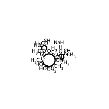 CC[C@H]1OC(=O)[C@H](C)[C@@H](O[C@H]2C[C@@](C)(OC)[C@@H](O)[C@H](C)O2)[C@H](C)[C@@H](O[C@@H]2O[C@H](C)C[C@H](N(C)C)[C@H]2O)[C@](C)(O)C[C@@H](C)C(=O)[C@H](C)[C@@H](O)[C@]1(C)O.[NaH]